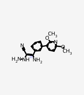 COc1ccc(-c2cccc(/C(N)=C(\C#N)NN)c2)c(OC)n1